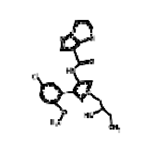 CC[C@@H](O)Cn1cc(NC(=O)c2cnn3cccnc23)c(-c2cc(Cl)ccc2OC)n1